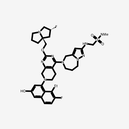 CCc1c(F)ccc2cc(O)cc(N3CCc4c(nc(OC[C@@]56CCCN5C[C@H](F)C6)nc4N4CCCn5nc(NCS(=O)(=O)NC)cc5C4)C3)c12